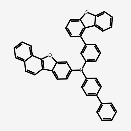 c1ccc(-c2ccc(N(c3cccc(-c4cccc5sc6ccccc6c45)c3)c3ccc4c(c3)oc3c5ccccc5ccc43)cc2)cc1